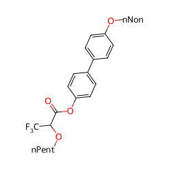 CCCCCCCCCOc1ccc(-c2ccc(OC(=O)C(OCCCCC)C(F)(F)F)cc2)cc1